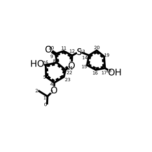 CC(C)Oc1cc(O)c2c(=O)cc(Sc3ccc(O)cc3)oc2c1